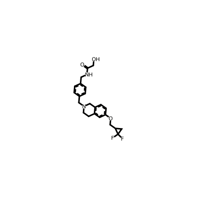 O=C(CO)NCc1ccc(CN2CCc3cc(OCC4CC4(F)F)ccc3C2)cc1